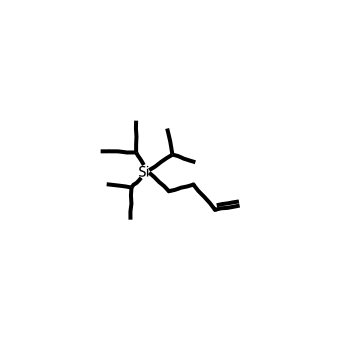 C=CCC[Si](C(C)C)(C(C)C)C(C)C